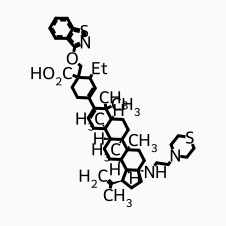 C=C(C)[C@@H]1CC[C@]2(NCCN3CCSCC3)CC[C@]3(C)[C@H](CC[C@@H]4[C@@]5(C)CC=C(C6=CC(CC)C(COc7nsc8ccccc78)(C(=O)O)CC6)C(C)(C)[C@@H]5CC[C@]43C)[C@@H]12